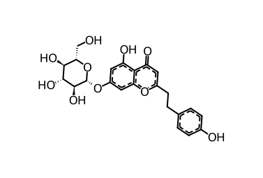 O=c1cc(CCc2ccc(O)cc2)oc2cc(O[C@H]3O[C@@H](CO)[C@H](O)[C@@H](O)[C@@H]3O)cc(O)c12